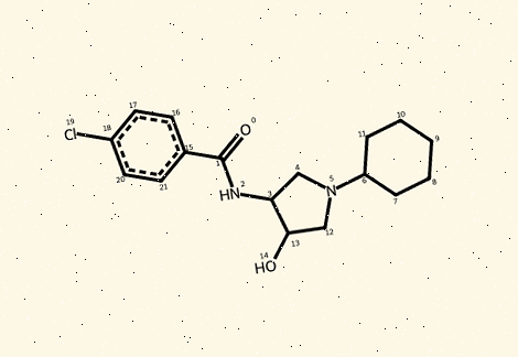 O=C(NC1CN(C2CCCCC2)CC1O)c1ccc(Cl)cc1